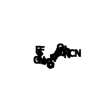 Cc1cc(C#N)nc(C)c1C(=O)N1CC2CN(CCC3(c4ccccc4)CCN(C(=O)C4CC(F)(F)C4)C3)CC2C1